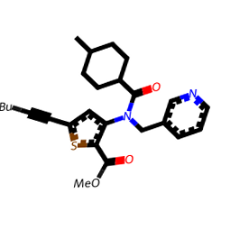 COC(=O)c1sc(C#CC(C)(C)C)cc1N(Cc1cccnc1)C(=O)C1CCC(C)CC1